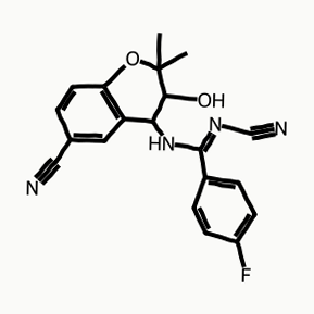 CC1(C)Oc2ccc(C#N)cc2C(NC(=NC#N)c2ccc(F)cc2)C1O